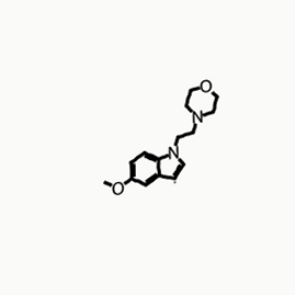 COc1ccc2c([c]cn2CCN2CCOCC2)c1